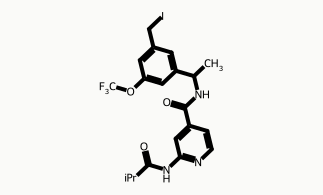 CC(C)C(=O)Nc1cc(C(=O)NC(C)c2cc(CI)cc(OC(F)(F)F)c2)ccn1